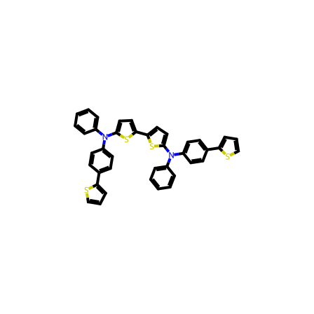 c1ccc(N(c2ccc(-c3cccs3)cc2)c2ccc(-c3ccc(N(c4ccccc4)c4ccc(-c5cccs5)cc4)s3)s2)cc1